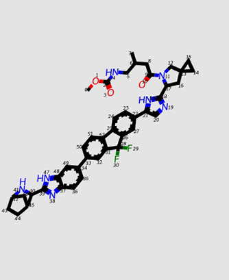 COC(=O)NCC(C)CC(=O)N1CC2(CC2)CC1c1ncc(-c2ccc3c(c2)C(F)(F)c2cc(-c4ccc5nc(C6NC7CCC6C7)[nH]c5c4)ccc2-3)[nH]1